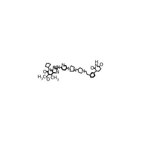 CC(=O)c1c(C)c2cnc(Nc3ccc(N4CCN(C5CCN(CCc6cccc(C7CCC(=O)NC7=O)c6)CC5)CC4)cn3)nc2n(C2CCCC2)c1=O